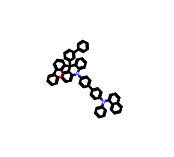 c1ccc(-c2cccc(C3(c4cccc5c4oc4ccccc45)c4ccccc4N(c4ccc(-c5ccc(N(c6ccccc6)c6cccc7ccccc67)cc5)cc4)c4ccccc43)c2)cc1